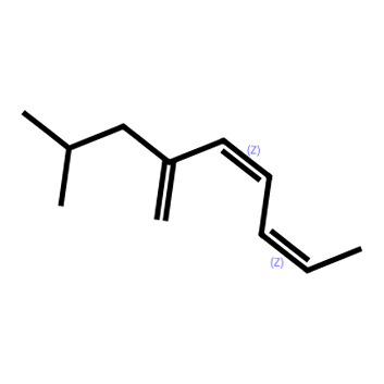 C=C(/C=C\C=C/C)CC(C)C